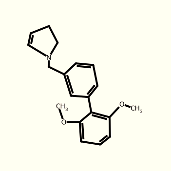 COc1cccc(OC)c1-c1cccc(CN2C=CCC2)c1